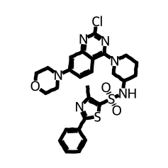 Cc1nc(-c2ccccc2)sc1S(=O)(=O)NC1CCCN(c2nc(Cl)nc3cc(N4CCOCC4)ccc23)C1